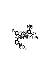 CCCN(CCC)C(=O)c1cc(C(=O)N[C@@H](Cc2cc(F)cc(F)c2)[C@H](O)CNCc2cccc(N(C)C(=O)O)c2)cc(-c2ncco2)c1